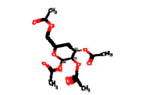 CC(=O)OCC1C[C@H](OC(C)=O)[C@@H](OC(C)=O)[C@@H](OC(C)=O)O1